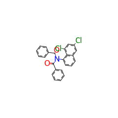 O=C(c1ccccc1)N(C(=O)c1ccccc1)c1cccc2cc(Cl)cc(Cl)c12